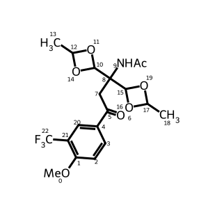 COc1ccc(C(=O)CC(NC(C)=O)(C2OC(C)O2)C2OC(C)O2)cc1C(F)(F)F